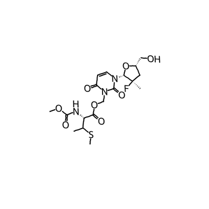 COC(=O)N[C@H](C(=O)OCn1c(=O)ccn([C@@H]2O[C@H](CO)C[C@@]2(C)F)c1=O)C(C)SC